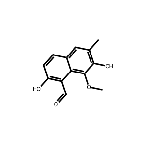 COc1c(O)c(C)cc2ccc(O)c(C=O)c12